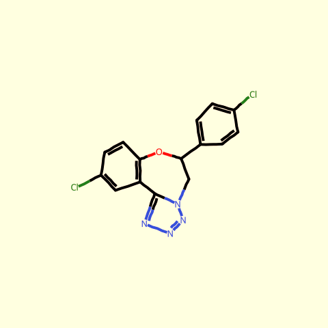 Clc1ccc(C2Cn3nnnc3-c3cc(Cl)ccc3O2)cc1